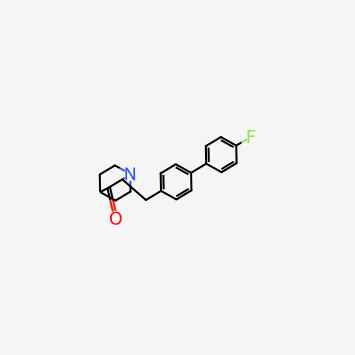 O=C1C2CCN(CC2)C1Cc1ccc(-c2ccc(F)cc2)cc1